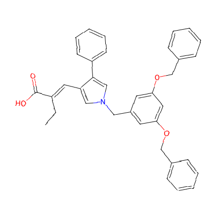 CCC(=Cc1cn(Cc2cc(OCc3ccccc3)cc(OCc3ccccc3)c2)cc1-c1ccccc1)C(=O)O